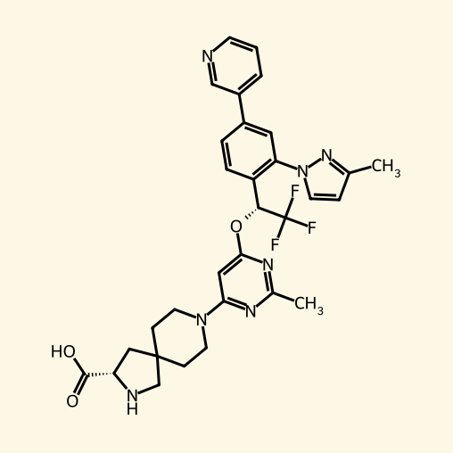 Cc1ccn(-c2cc(-c3cccnc3)ccc2[C@@H](Oc2cc(N3CCC4(CC3)CN[C@H](C(=O)O)C4)nc(C)n2)C(F)(F)F)n1